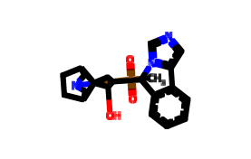 CS(=O)(=O)N1CC2CCC(C1)C21CC(C2c3ccccc3-c3cncn32)C1O